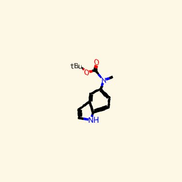 CN(C(=O)OC(C)(C)C)c1ccc2[nH]ccc2c1